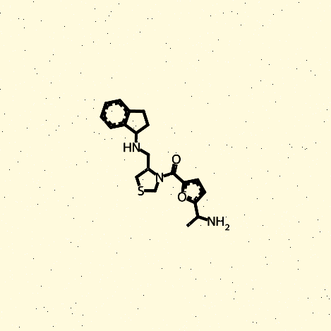 CC(N)c1ccc(C(=O)N2CSCC2CNC2CCc3ccccc32)o1